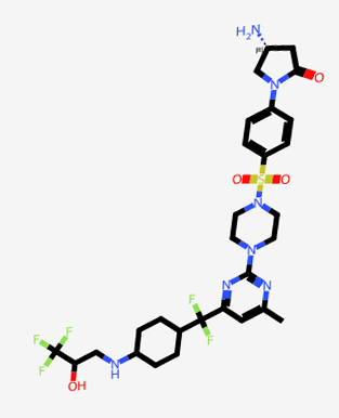 Cc1cc(C(F)(F)C2CCC(NCC(O)C(F)(F)F)CC2)nc(N2CCN(S(=O)(=O)c3ccc(N4C[C@H](N)CC4=O)cc3)CC2)n1